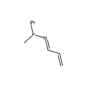 C=C/C=N/P(C)C(C)C